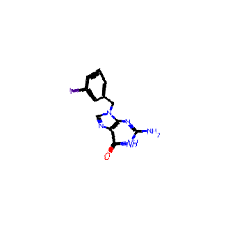 Nc1nc2c(ncn2Cc2cccc(I)c2)c(=O)[nH]1